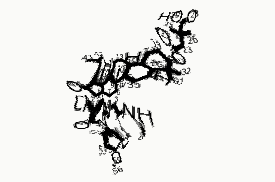 CNCCn1c([C@@]23CC[C@]4(C)[C@H](CC[C@@H]5[C@@]6(C)CC[C@H](OC(=O)CC(C)(C)C(=O)O)C(C)(C)[C@@H]6CC[C@]54C)C2=C(C(C)C)C(=O)C3)c(Cl)c(=O)n1-c1ccc(OC)nc1